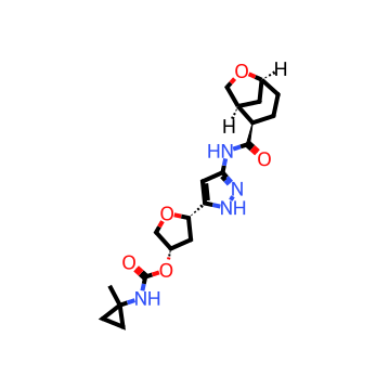 CC1(NC(=O)O[C@@H]2CO[C@H](c3cc(NC(=O)[C@@H]4CC[C@H]5C[C@@H]4CO5)n[nH]3)C2)CC1